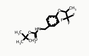 CC(Oc1ccc(CNC(=O)OC(C)(C)C)cc1)C(F)(F)F